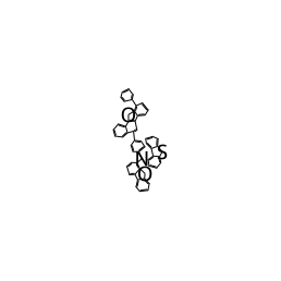 c1ccc(-c2cccc3c2oc2c4ccccc4c(-c4ccc(N(c5cccc6c5oc5ccccc56)c5cccc6sc7ccccc7c56)cc4)cc32)cc1